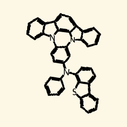 c1ccc(N(c2ccc3c(c2)n2c4ccccc4c4ccc5c6ccccc6n3c5c42)c2cccc3c2sc2ccccc23)cc1